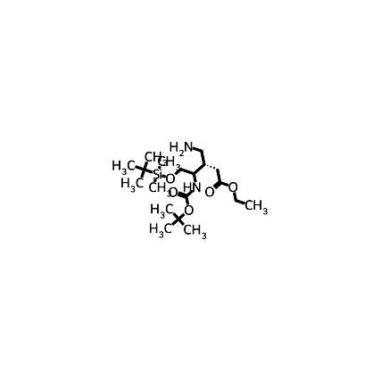 CCOC(=O)C[C@@H](CN)C(CO[Si](C)(C)C(C)(C)C)NC(=O)OC(C)(C)C